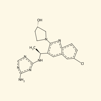 C[C@H](Nc1ncnc(N)n1)c1cc2cc(Cl)ccc2nc1N1CC[C@H](O)C1